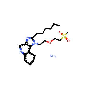 CCCCCCc1nc2cnc3ccccc3c2n1CCOCCS(C)(=O)=O.N